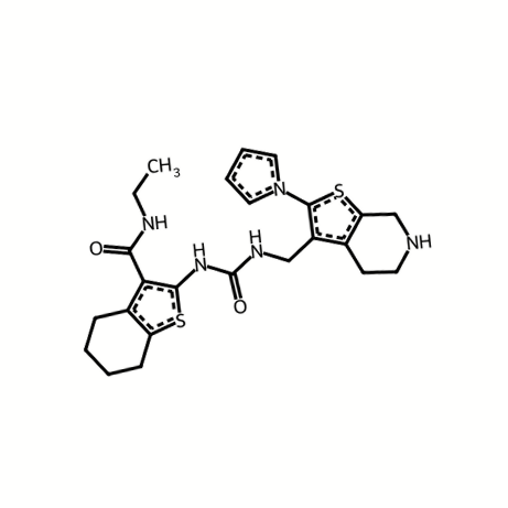 CCNC(=O)c1c(NC(=O)NCc2c(-n3cccc3)sc3c2CCNC3)sc2c1CCCC2